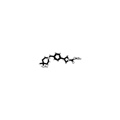 CC(=O)OC1(C)CCN(Cc2ccc(C3CN(C(=O)OC(C)(C)C)C3)cc2)CC1